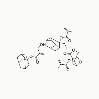 C=C(C)C(=O)OC1(CC)C2CC3CC(C2)CC1C3.C=C(C)C(=O)OC1C2CC3C(=O)OC1C3O2.C=C(CO)C(=O)OC12CC3CC(CC(C3)C1)C2